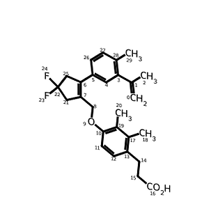 C=C(C)c1cc(C2=C(COc3ccc(CCC(=O)O)c(C)c3C)CC(F)(F)C2)ccc1C